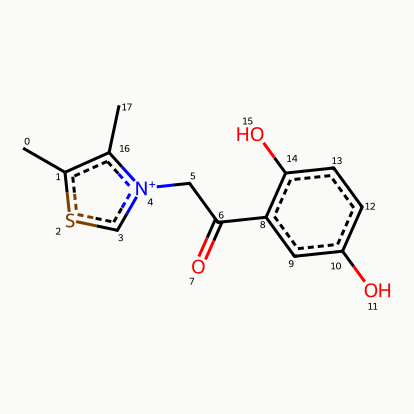 Cc1sc[n+](CC(=O)c2cc(O)ccc2O)c1C